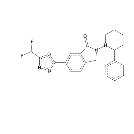 O=C1c2cc(-c3nnc(C(F)F)o3)ccc2CN1N1CCCCC1c1ccccc1